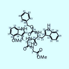 COC(=O)CNC(=O)[C@H](Cc1c[nH]c2cccc(OC)c12)NC(=O)[C@H](Cc1c[nH]c2ccccc12)NC(=O)OCc1ccccc1